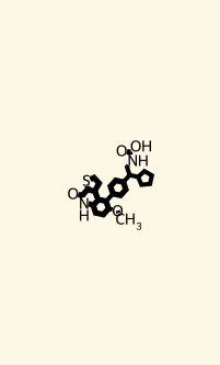 COc1ccc2[nH]c(=O)c3sccc3c2c1-c1ccc(C(CNC(=O)O)C2CCCC2)cc1